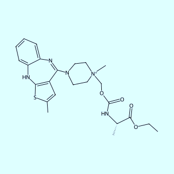 CCOC(=O)[C@H](C)NC(=O)OC[N+]1(C)CCN(C2=Nc3ccccc3Nc3sc(C)cc32)CC1